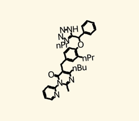 CCCCc1nc(C)n(-c2ccccn2)c(=O)c1Cc1cc(CCC)c(OC(c2ccccc2)c2nnn[nH]2)c(CCC)c1